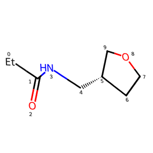 CCC(=O)NC[C@H]1CCOC1